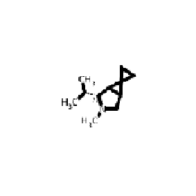 CC(C)[C@@H]1C2C(CN1C)C21CC1